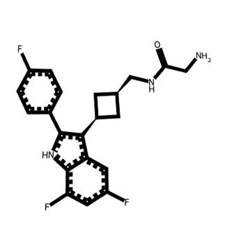 NCC(=O)NC[C@H]1C[C@@H](c2c(-c3ccc(F)cc3)[nH]c3c(F)cc(F)cc32)C1